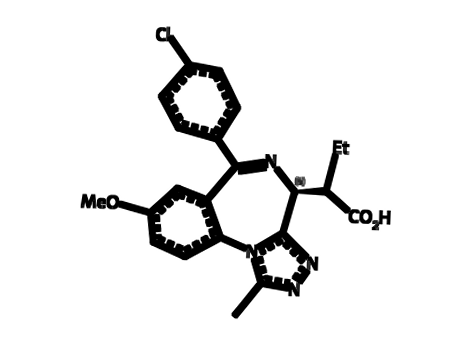 CCC(C(=O)O)[C@@H]1N=C(c2ccc(Cl)cc2)c2cc(OC)ccc2-n2c(C)nnc21